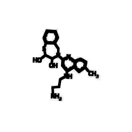 Cc1ccc2nc(N3Cc4ccccc4SC(O)C3O)cc(NCCCN)c2c1